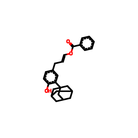 O=C(OC=CCc1ccc(O)c(C23CC4CC(CC(C4)C2)C3)c1)c1ccccc1